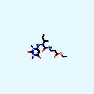 CCOC(=O)CCNC(=O)[C@@H](Nc1cc(=O)n(C)c(=O)n1C)C(C)CC